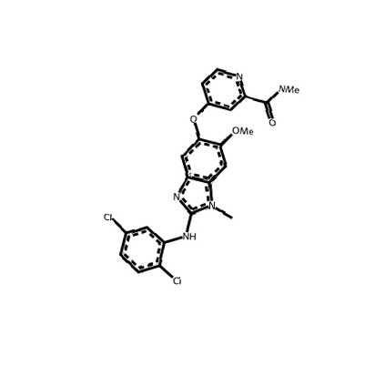 CNC(=O)c1cc(Oc2cc3nc(Nc4cc(Cl)ccc4Cl)n(C)c3cc2OC)ccn1